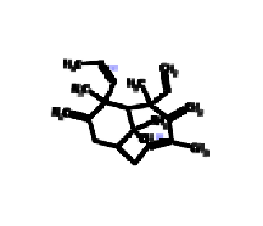 BC1(C)C2C/C=C(\C)C(=C)C(C)(C=C)C1C(C)(/C=C\C)C(=C)C2